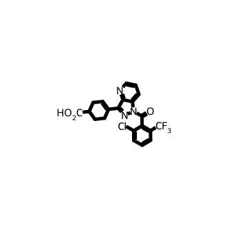 O=C(O)C1CC=C(c2nn(C(=O)c3c(Cl)cccc3C(F)(F)F)c3cccnc23)CC1